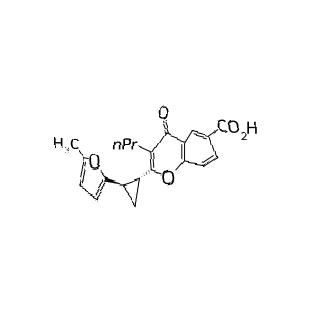 CCCc1c([C@@H]2C[C@H]2c2ccc(C)o2)oc2ccc(C(=O)O)cc2c1=O